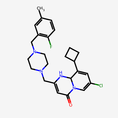 Cc1ccc(F)c(CN2CCN(CC3=CC(=O)N4C=C(Cl)C=C(C5CCC5)C4N3)CC2)c1